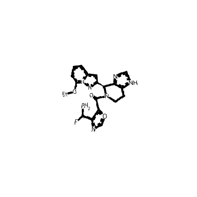 CCOc1cccc2cc([C@H]3c4nc[nH]c4CCN3C(=O)c3ocnc3C(F)P)nn12